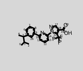 CC(C)C(C)c1cccc(-c2cccc(-n3ncc(C(=O)O)c3C(F)(F)F)n2)c1